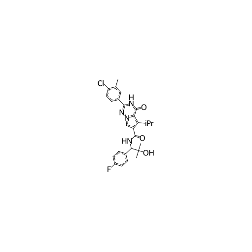 Cc1cc(-c2nn3cc(C(=O)NC(c4ccc(F)cc4)C(C)(C)O)c(C(C)C)c3c(=O)[nH]2)ccc1Cl